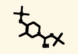 CC1=C(O[Si](C)(C)C)CCN(C(O)OC(C)(C)C)C1